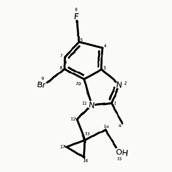 Cc1nc2cc(F)cc(Br)c2n1CC1(CO)CC1